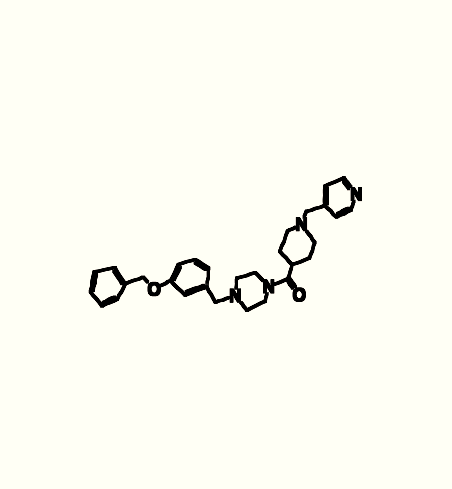 O=C(C1CCN(Cc2ccncc2)CC1)N1CCN(Cc2cccc(OCc3ccccc3)c2)CC1